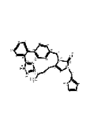 CCCCc1cn(Cc2cccs2)c(=O)n1Cc1ccc(-c2ccccc2-c2nnn[nH]2)cc1